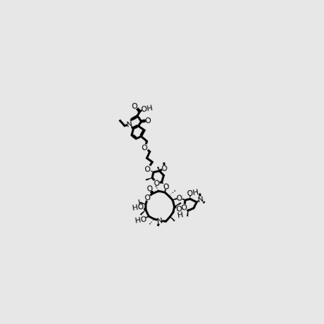 CCn1cc(C(=O)O)c(=O)c2cc(COCCCO[C@H]3[C@H](C)O[C@@H](O[C@H]4[C@H](C)[C@@H](O[C@@H]5O[C@H](C)C[C@H](N(C)C)[C@H]5O)[C@](C)(O)C[C@@H](C)CN(C)[C@H](C)[C@@H](O)[C@](C)(O)[C@@H](I)OC(=O)[C@@H]4C)C[C@@]3(C)OC)ccc21